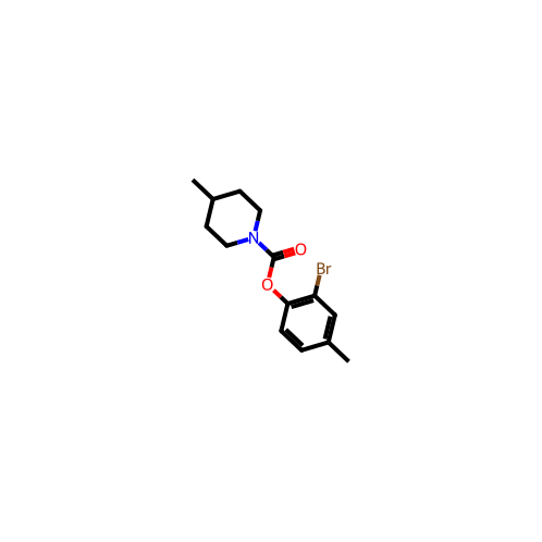 Cc1ccc(OC(=O)N2CCC(C)CC2)c(Br)c1